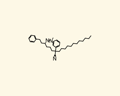 CCCCCCCCCCCCC(C#N)(CCCC(CCc1ccccc1)N=NC)c1ccccc1